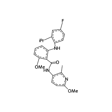 COc1ccc(NC(=O)c2c(Nc3ccc(F)cc3C(C)C)cccc2OC)c(C)n1